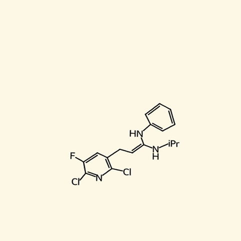 CC(C)N/C(=C/Cc1cc(F)c(Cl)nc1Cl)Nc1ccccc1